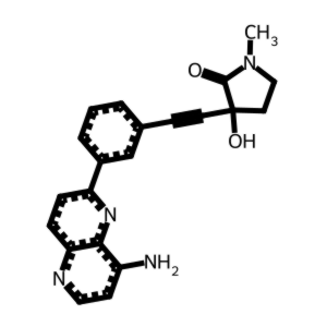 CN1CCC(O)(C#Cc2cccc(-c3ccc4nccc(N)c4n3)c2)C1=O